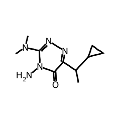 CC(c1nnc(N(C)C)n(N)c1=O)C1CC1